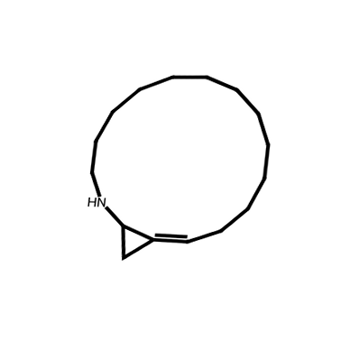 C1=C2/CC2NCCCCCCCCCCCC/1